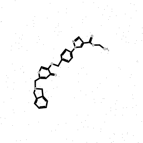 CCOC(=O)c1cnn(-c2ccc(COc3coc(CN4Cc5ccccc5C4)cc3=O)cc2)c1